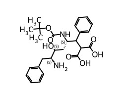 CC(C)(C)OC(=O)N[C@@H](C[C@H](O)[C@@H](N)Cc1ccccc1)C(c1ccccc1)C(C(=O)O)C(=O)O